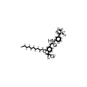 CCCCCCCCCCOc1cc(CC(=O)Nc2cccc(-c3scc[n+]3C)c2)ccc1C(C)(C)C.[Cl-]